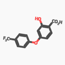 O=C(O)c1ccc(Oc2ccc(C(F)(F)F)cc2)cc1O